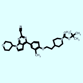 Cc1cc(-c2nc(C#N)nc3c2ccn3C2CCOCC2)ccc1OCCC1CCN(C(=O)OC(C)(C)C)CC1